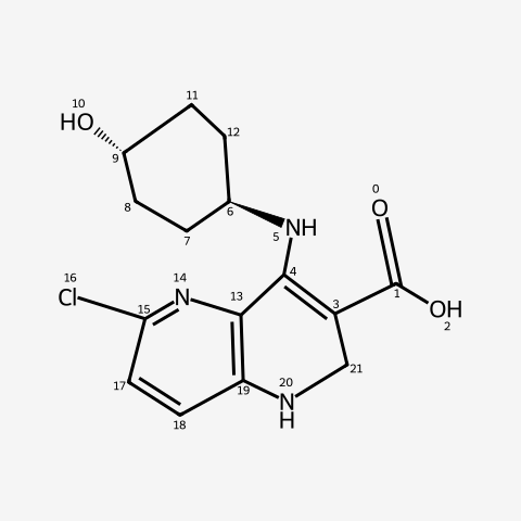 O=C(O)C1=C(N[C@H]2CC[C@H](O)CC2)c2nc(Cl)ccc2NC1